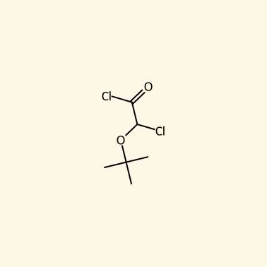 CC(C)(C)OC(Cl)C(=O)Cl